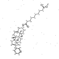 COC(=O)CCCCCCCCC(=O)O[C@@H]1CC[C@@]2(C)C(=CC[C@@H]3[C@@H]2CC[C@]2(C)C(c4cccnc4)=CC[C@@H]32)C1